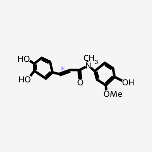 COc1cc(N(C)C(=O)/C=C/c2ccc(O)c(O)c2)ccc1O